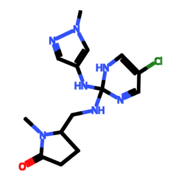 CN1C(=O)CCC1CNC1(Nc2cnn(C)c2)N=CC(Cl)=CN1